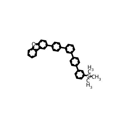 C[Si](C)(C)c1cccc(-c2ccc(-c3cccc(-c4ccc(-c5ccc6oc7ccccc7c6c5)cc4)c3)cc2)c1